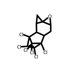 ClC1=C(Cl)C2(Cl)C3C4CC45OC5CC3C1(Cl)C2(Cl)Cl